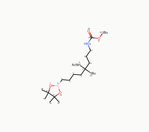 CC(=O)NC(CCCCB1OC(C)(C)C(C)(C)O1)(CCCNC(=O)OC(C)(C)C)C(C)(C)C